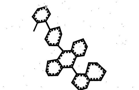 Cc1ccncc1-c1ccc(-c2c3ccccc3c(-c3cccc4ccccc34)c3ccccc23)cc1